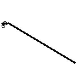 C#CC#CC#CC#CC#CC#CC#CC#CC#CC#CC#CC#CC#CC#CC#CC#CC#CC#CC#CC#CCCOC(C)=O